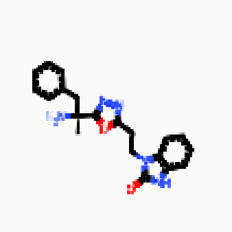 C[C@@](N)(Cc1ccccc1)c1nnc(CCn2c(=O)[nH]c3ccccc32)o1